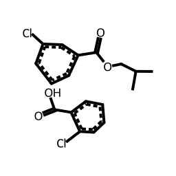 CC(C)COC(=O)c1cccc(Cl)c1.O=C(O)c1ccccc1Cl